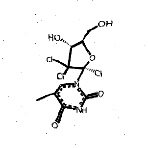 Cc1cn([C@]2(Cl)O[C@H](CO)[C@@H](O)C2(Cl)Cl)c(=O)[nH]c1=O